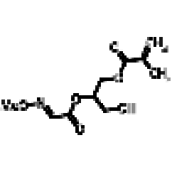 C=C(C)C(=O)OCC(CO)OC(=O)C=NOC